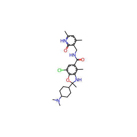 Cc1cc(C)c(CNC(=O)c2cc(Cl)c3c(c2C)NC(C)(C2CCC(N(C)C)CC2)O3)c(=O)[nH]1